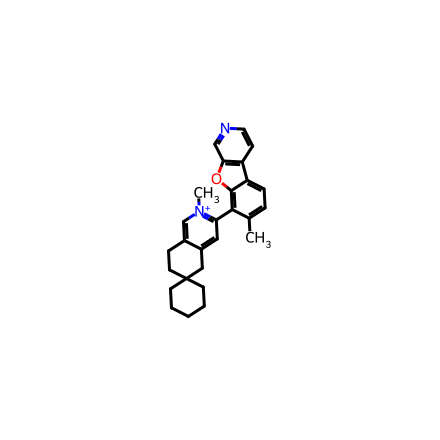 Cc1ccc2c(oc3cnccc32)c1-c1cc2c(c[n+]1C)CCC1(CCCCC1)C2